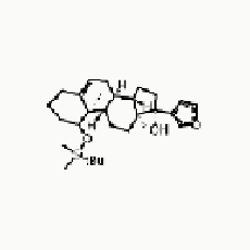 CC(C)(C)[Si](C)(C)OC1CCCC2=CC[C@H]3[C@@H]4CC[C@@](O)(c5ccoc5)[C@@]4(C)CC[C@@H]3[C@]21C